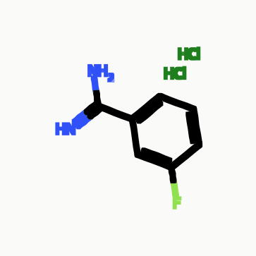 Cl.Cl.N=C(N)c1cccc(F)c1